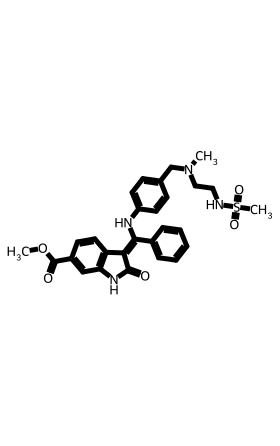 COC(=O)c1ccc2c(c1)NC(=O)C2=C(Nc1ccc(CN(C)CCNS(C)(=O)=O)cc1)c1ccccc1